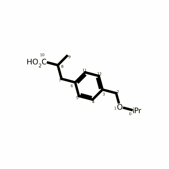 CC(C)OCc1ccc(CC(C)C(=O)O)cc1